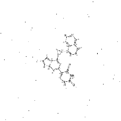 O=c1[nH]cc(-c2cc([C@H]3C[C@@H]3c3ccnc4ccccc34)c3nccn3n2)c(=O)[nH]1